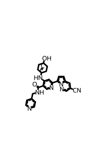 N#Cc1cnn2c(-c3cc(NC45CCC(O)(CC4)CC5)c(C(=O)NCc4ccncc4)cn3)ccc2c1